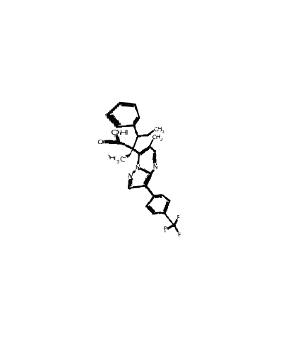 CCC(c1ccccc1)[C@@](C)(C(=O)O)c1c(C)cnc2c(-c3ccc(C(F)(F)F)cc3)cnn12